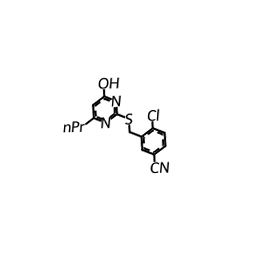 CCCc1cc(O)nc(SCc2cc(C#N)ccc2Cl)n1